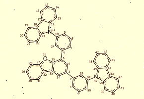 c1cc(-c2cc(-c3cccc(-n4c5ccccc5c5ccccc54)c3)c3oc4ccccc4c3c2)cc(-n2c3ccccc3c3ccccc32)c1